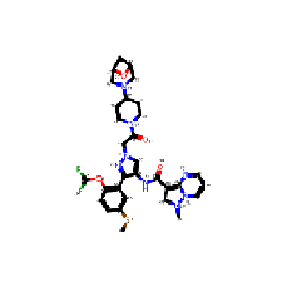 CSc1ccc(OC(F)F)c(-c2nn(CC(=O)N3CCC(N4CC5CC(C4)O5)CC3)cc2NC(=O)C2=C3N=CC=CN3N(C)C2)c1